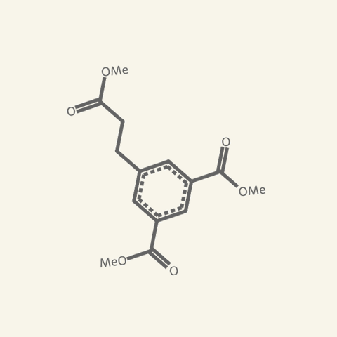 COC(=O)CCc1cc(C(=O)OC)cc(C(=O)OC)c1